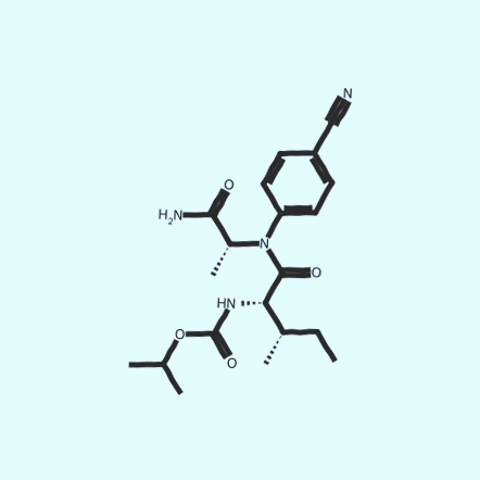 CC[C@H](C)[C@H](NC(=O)OC(C)C)C(=O)N(c1ccc(C#N)cc1)[C@H](C)C(N)=O